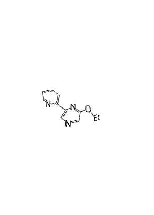 CCOc1cncc(-c2ccccn2)n1